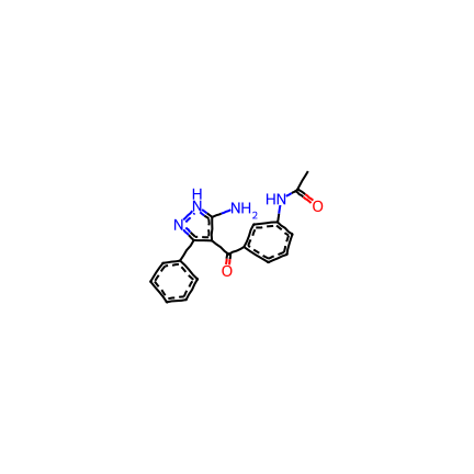 CC(=O)Nc1cccc(C(=O)c2c(-c3ccccc3)n[nH]c2N)c1